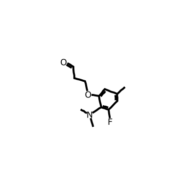 Cc1cc(F)c(N(C)C)c(OCCC=O)c1